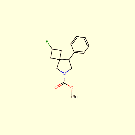 CC(C)(C)OC(=O)N1CC(c2ccccc2)C2(CC(F)C2)C1